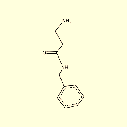 NCCC(=O)NCc1ccccc1